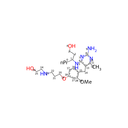 CCCC(CCO)Nc1nc(N)nc(C)c1Cc1ccc(OCCCNCCO)cc1OC